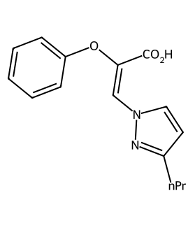 CCCc1ccn(C=C(Oc2ccccc2)C(=O)O)n1